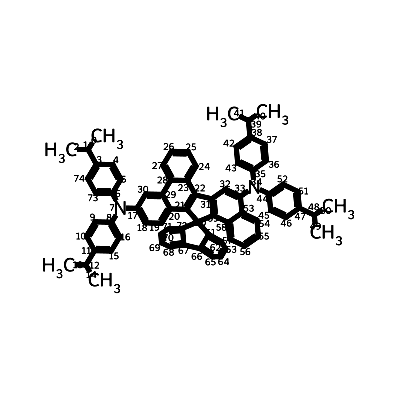 CC(C)c1ccc(N(c2ccc(C(C)C)cc2)c2ccc3c4c(c5ccccc5c3c2)-c2cc(N(c3ccc(C(C)C)cc3)c3ccc(C(C)C)cc3)c3ccccc3c2C42c3ccccc3-c3ccccc32)cc1